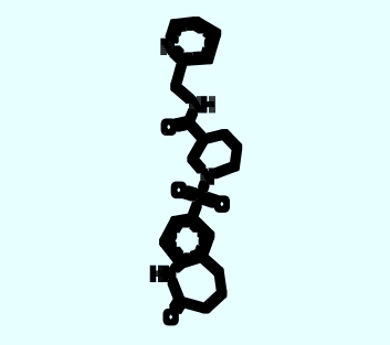 O=C1CCCc2cc(S(=O)(=O)N3CCCC(C(=O)NCc4ccccn4)C3)ccc2N1